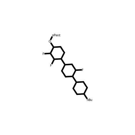 CCCCCOC1CCC(C2CCC(C3CCC(CCCC)CC3)C(F)C2)C(F)C1F